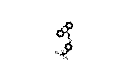 CCOC(C)(Cc1ccc(OCCN2c3ccccc3Sc3ccccc32)cc1)C(=O)O